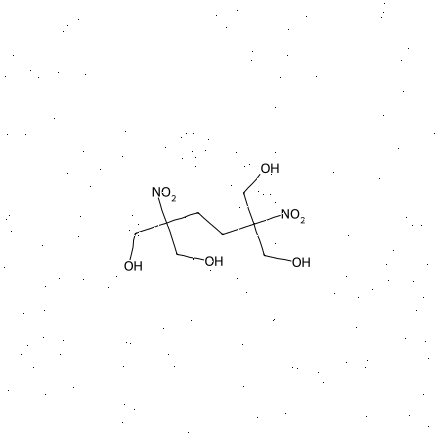 O=[N+]([O-])C(CO)(CO)CCC(CO)(CO)[N+](=O)[O-]